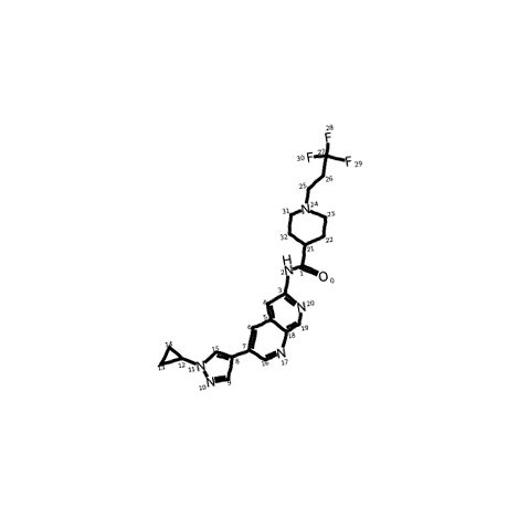 O=C(Nc1cc2cc(-c3cnn(C4CC4)c3)cnc2cn1)C1CCN(CCC(F)(F)F)CC1